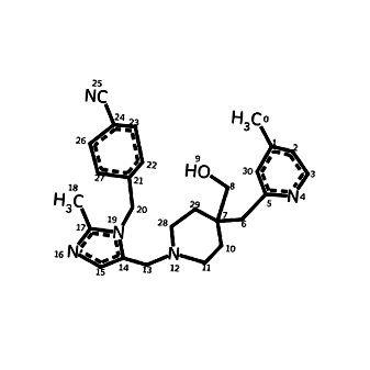 Cc1ccnc(CC2(CO)CCN(Cc3cnc(C)n3Cc3ccc(C#N)cc3)CC2)c1